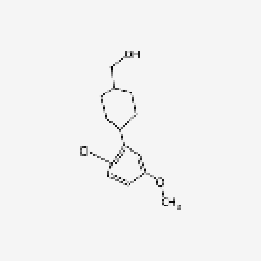 COc1ccc(Cl)c(C2CCC(CO)CC2)c1